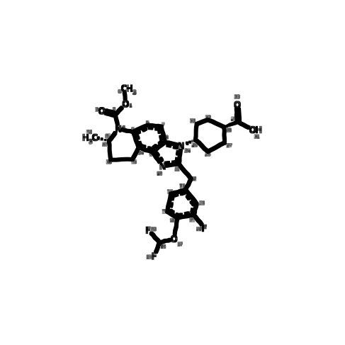 COC(=O)N1c2ccc3c(nc(Cc4ccc(OC(F)F)c(F)c4)n3[C@H]3CC[C@H](C(=O)O)CC3)c2CC[C@@H]1C